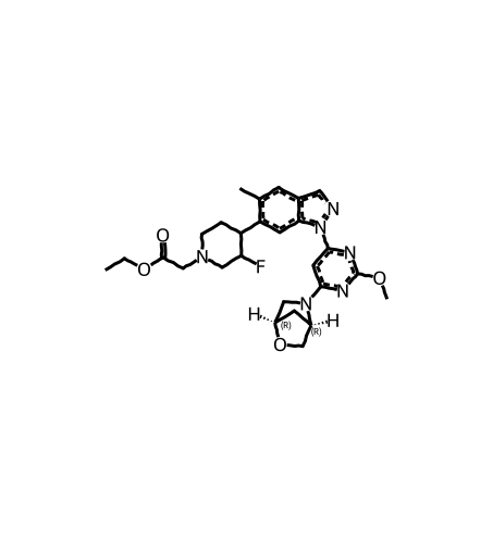 CCOC(=O)CN1CCC(c2cc3c(cnn3-c3cc(N4C[C@H]5C[C@@H]4CO5)nc(OC)n3)cc2C)C(F)C1